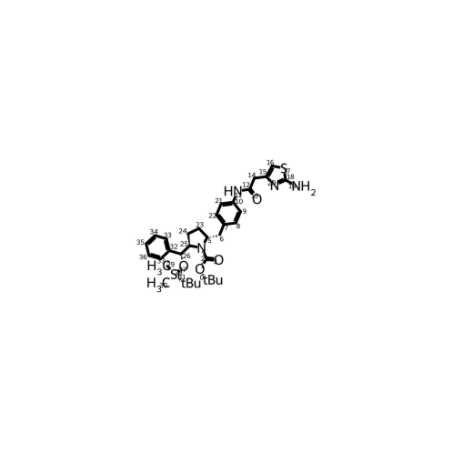 CC(C)(C)OC(=O)N1[C@@H](Cc2ccc(NC(=O)Cc3csc(N)n3)cc2)CC[C@@H]1[C@H](O[Si](C)(C)C(C)(C)C)c1ccccc1